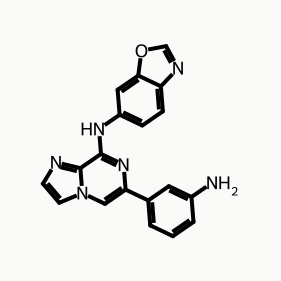 Nc1cccc(-c2cn3ccnc3c(Nc3ccc4ncoc4c3)n2)c1